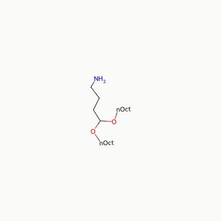 CCCCCCCCOC(CCCN)OCCCCCCCC